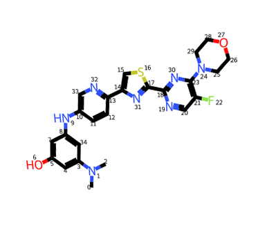 CN(C)c1cc(O)cc(Nc2ccc(-c3csc(-c4ncc(F)c(N5CCOCC5)n4)n3)nc2)c1